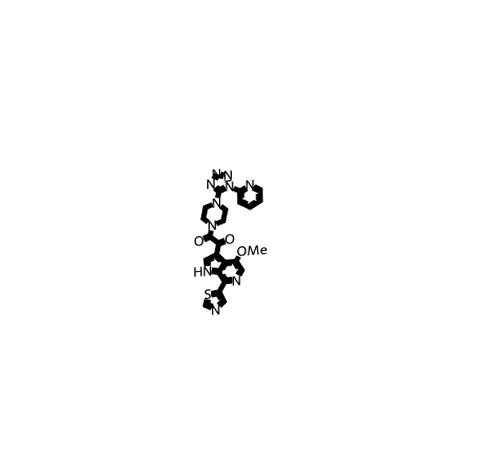 COc1cnc(-c2cncs2)c2[nH]cc(C(=O)C(=O)N3CCN(c4nnnn4-c4ccccn4)CC3)c12